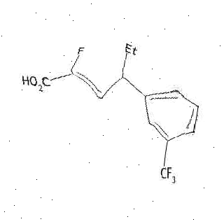 CCC(C=C(F)C(=O)O)c1cccc(C(F)(F)F)c1